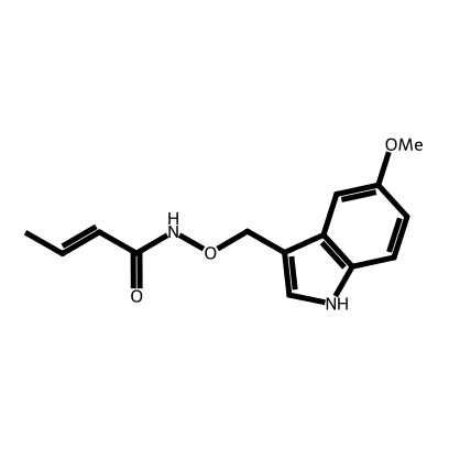 CC=CC(=O)NOCc1c[nH]c2ccc(OC)cc12